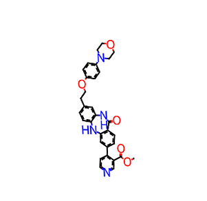 COC(=O)c1cnccc1-c1ccc2c(c1)Nc1ccc(CCOc3ccc(N4CCOCC4)cc3)cc1NC2=O